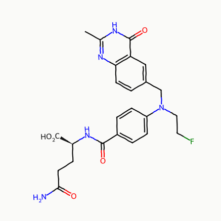 Cc1nc2ccc(CN(CCF)c3ccc(C(=O)N[C@@H](CCC(N)=O)C(=O)O)cc3)cc2c(=O)[nH]1